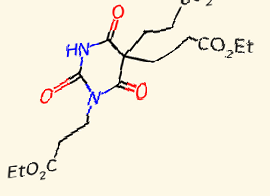 CCOC(=O)CCN1C(=O)NC(=O)C(CCC(=O)OCC)(CCC(=O)OCC)C1=O